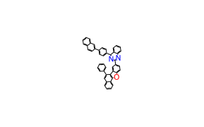 c1ccc(-c2cc3ccccc3c3oc4ccc(-c5nc(-c6ccc(-c7ccc8ccccc8c7)cc6)c6ccccc6n5)cc4c23)cc1